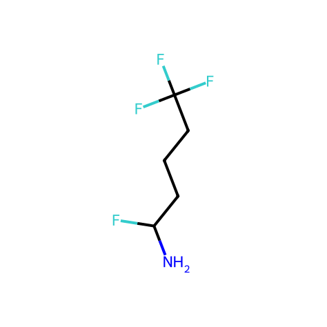 NC(F)CCCC(F)(F)F